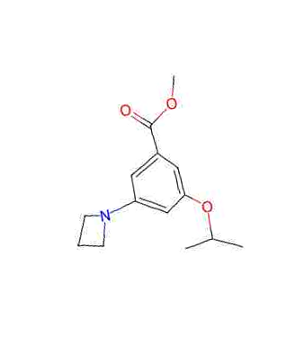 COC(=O)c1cc(OC(C)C)cc(N2CCC2)c1